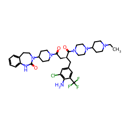 CCN1CCC(N2CCN(C(=O)[C@H](CC(=O)N3CCC(N4CCc5ccccc5NC4=O)CC3)Cc3cc(Cl)c(N)c(C(F)(F)F)c3)CC2)CC1